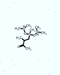 CC(=O)C(C)C[Si](C)(O[SiH](C)C)O[SiH](C)C